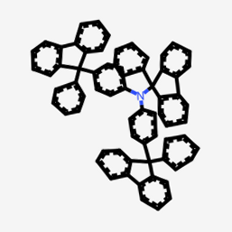 c1ccc(C2(c3ccc(N(c4ccc(C5(c6ccccc6)c6ccccc6-c6ccccc65)cc4)C4(c5ccccc5)c5ccccc5-c5ccccc54)cc3)c3ccccc3-c3ccccc32)cc1